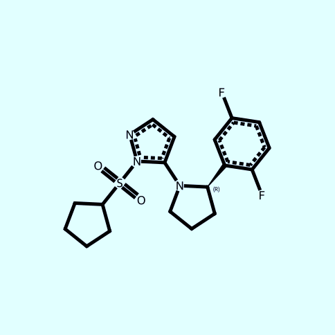 O=S(=O)(C1CCCC1)n1nccc1N1CCC[C@@H]1c1cc(F)ccc1F